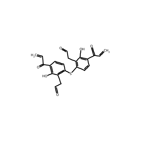 C=CC(=O)c1ccc(Sc2ccc(C(=O)C=C)c(O)c2CC=O)c(CC=O)c1O